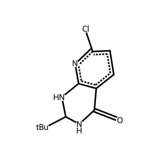 CC(C)(C)C1NC(=O)c2ccc(Cl)nc2N1